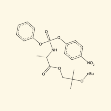 CCCCOC(C)(C)COC(=O)[C@H](C)NP(=O)(Oc1ccccc1)Oc1ccc([N+](=O)[O-])cc1